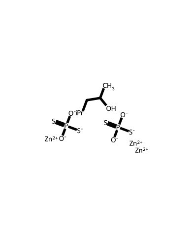 CC(C)CC(C)O.[O-]P([O-])(=S)[S-].[O-]P([O-])(=S)[S-].[Zn+2].[Zn+2].[Zn+2]